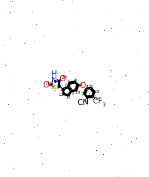 [C-]#[N+]c1cc(Oc2ccc3c(c2)CC[C@H]3C2SC(=O)NC2=O)ccc1C(F)(F)F